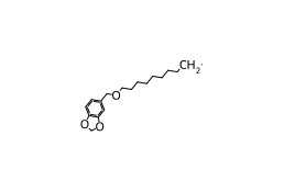 [CH2]CCCCCCCCOCc1ccc2c(c1)OCO2